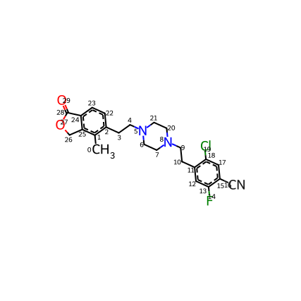 Cc1c(CCN2CCN(CCc3cc(F)c(C#N)cc3Cl)CC2)ccc2c1COC2=O